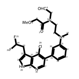 COCC(=O)N(CC=O)CCN(C)c1cccc(-c2cnc3[nH]cc(CC(F)F)c3c2Cl)c1